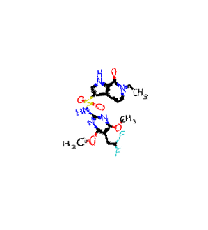 CCn1ccc2c(S(=O)(=O)Nc3nc(OC)c(CC(F)F)c(OC)n3)c[nH]c2c1=O